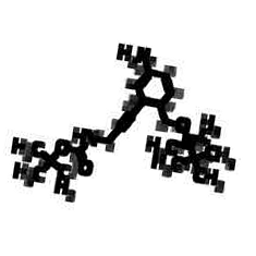 CC(C)(C)OC(=O)NCC#Cc1cc(N)ccc1CO[Si](C)(C)C(C)(C)C